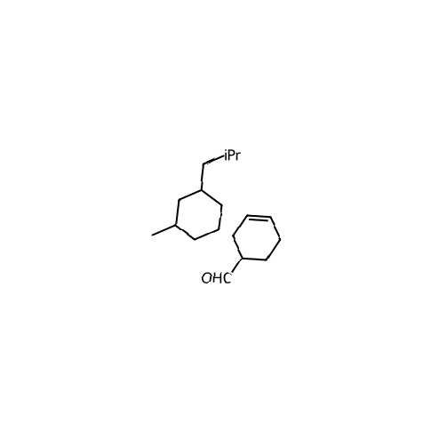 CC(C)CC1CCCC(C)C1.O=CC1CC=CCC1